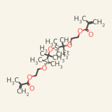 C=C(C)C(=O)OCCOC(C)(CC)[Si](C)(C)OC(C)(C)[Si](C)(C)OCCOC(=O)C(=C)C